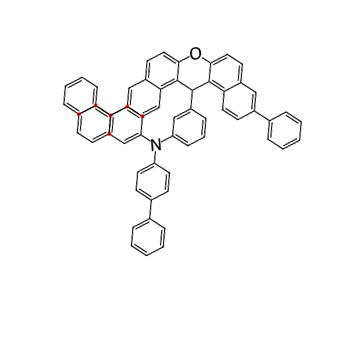 c1ccc(-c2ccc(N(c3ccc(-c4ccccc4)cc3)c3cccc(C4c5c(ccc6cc(-c7ccccc7)ccc56)Oc5ccc6cc(-c7ccccc7)ccc6c54)c3)cc2)cc1